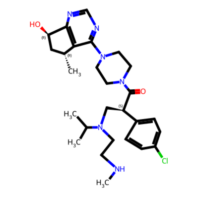 CNCCN(C[C@@H](C(=O)N1CCN(c2ncnc3c2[C@H](C)C[C@H]3O)CC1)c1ccc(Cl)cc1)C(C)C